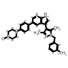 Cc1cccc(Cn2nc(C)c(-c3c[nH]c4ncc(-c5ccc(N6CCN(Cl)CC6)cc5)cc34)c2C)c1